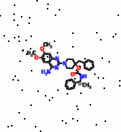 COc1cc2nc(N3CCC(Cc4ccccc4)(OC(=O)N[C@H](C)c4ccccc4)CC3)nc(N)c2cc1OC